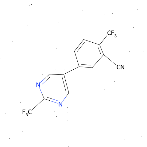 N#Cc1cc(-c2cnc(C(F)(F)F)nc2)ccc1C(F)(F)F